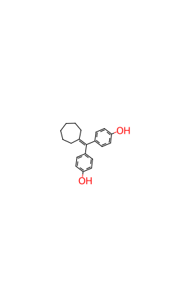 Oc1ccc(C(=C2CCCCCC2)c2ccc(O)cc2)cc1